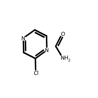 Clc1cnccn1.NC=O